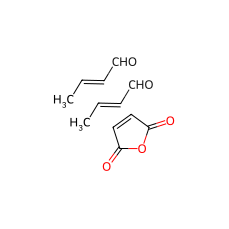 CC=CC=O.CC=CC=O.O=C1C=CC(=O)O1